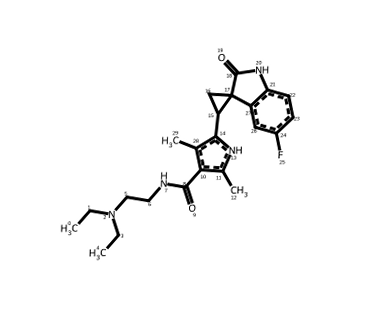 CCN(CC)CCNC(=O)c1c(C)[nH]c(C2CC23C(=O)Nc2ccc(F)cc23)c1C